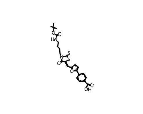 CC(C)(C)OC(=O)NCCCCN1C(=O)C(=Cc2ccc(-c3ccc(C(=O)O)cc3)o2)SC1=S